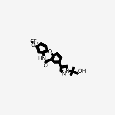 CC(C)(CO)n1cc(-c2ccc3c(c2)C(=O)Nc2cc(OC(F)(F)F)ccc2O3)cn1